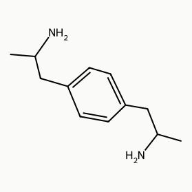 CC(N)Cc1ccc(CC(C)N)cc1